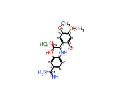 COc1cc(Br)c(C(Nc2ccc(C(=N)N)cc2)C(=O)O)cc1OC.Cl